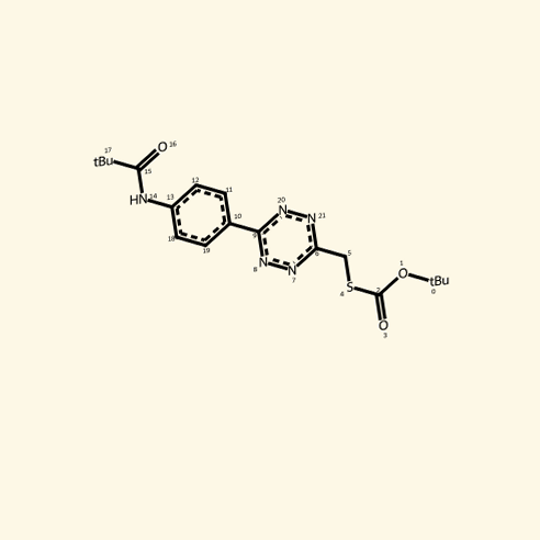 CC(C)(C)OC(=O)SCc1nnc(-c2ccc(NC(=O)C(C)(C)C)cc2)nn1